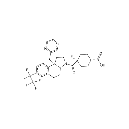 CC(F)(c1ccc2c(c1)CCC1N(C(=O)[C@]3(F)CC[C@@H](C(=O)O)CC3)CCC21Cc1ccccn1)C(F)(F)F